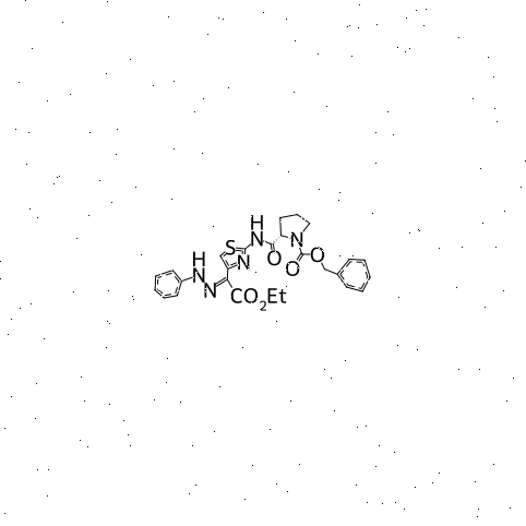 CCOC(=O)/C(=N/Nc1ccccc1)c1csc(NC(=O)[C@@H]2CCCN2C(=O)OCc2ccccc2)n1